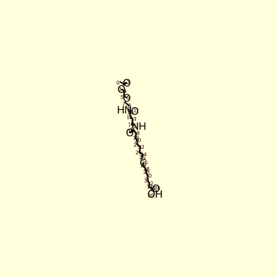 CC(=O)OCCOCCNC(=O)CCCNC(=O)CCCCCCCCCCCCCCCCC(=O)O